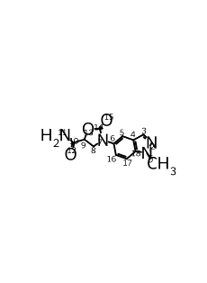 Cn1ncc2cc(N3CC(C(N)=O)OC3=O)ccc21